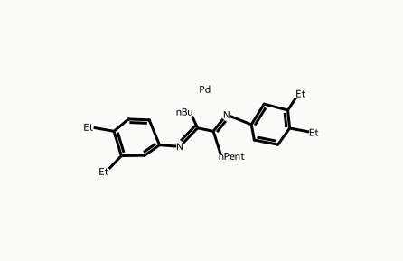 CCCCCC(=N\c1ccc(CC)c(CC)c1)/C(CCCC)=N/c1ccc(CC)c(CC)c1.[Pd]